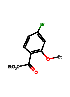 CCOC(=O)C(=O)c1ccc(Br)cc1OCC